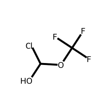 OC(Cl)OC(F)(F)F